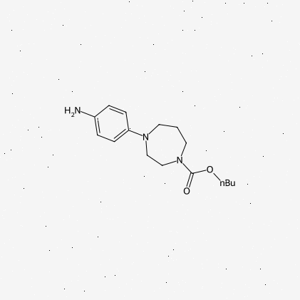 CCCCOC(=O)N1CCCN(c2ccc(N)cc2)CC1